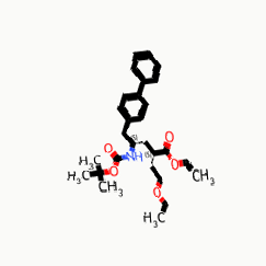 CCOCC[C@H](C[C@@H](Cc1ccc(-c2ccccc2)cc1)NC(=O)OC(C)(C)C)C(=O)OCC